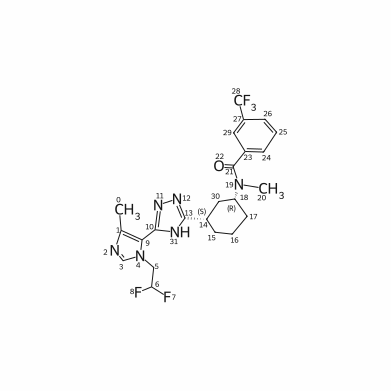 Cc1ncn(CC(F)F)c1-c1nnc([C@H]2CCC[C@@H](N(C)C(=O)c3cccc(C(F)(F)F)c3)C2)[nH]1